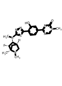 CN(c1nnc(-c2ccc(-c3ncn(C)c(=O)n3)cc2O)s1)[C@@H]1[C@H]2CN(C)[C@](C)(C2)[C@@H]1F